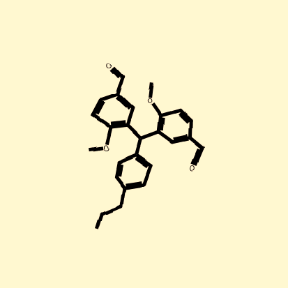 CCCc1ccc(C(c2cc(C=O)ccc2OC)c2cc(C=O)ccc2OC)cc1